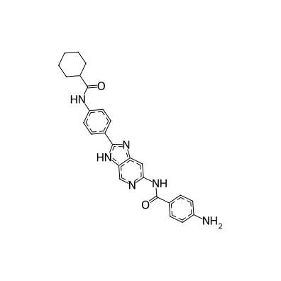 Nc1ccc(C(=O)Nc2cc3nc(-c4ccc(NC(=O)C5CCCCC5)cc4)[nH]c3cn2)cc1